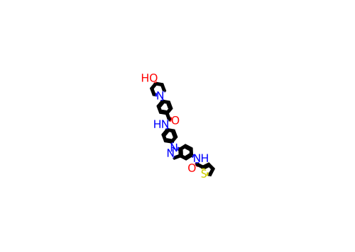 O=C(Nc1ccc2c(cnn2-c2ccc(NC(=O)c3ccc(N4CCC(O)CC4)cc3)cc2)c1)C1=CCCS1